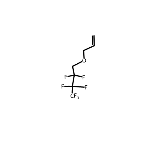 C=CCOCC(F)(F)C(F)(F)C(F)(F)F